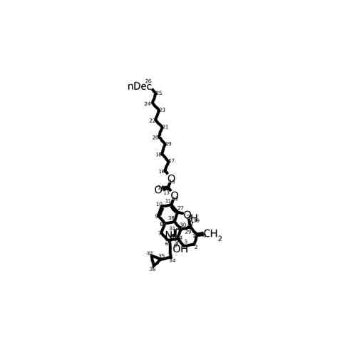 C=C1CC[C@@]2(O)C3CC4C=CC(OC(=O)OCCCCCCCCCCCCCCCCCCCC)=C5O[C@@H]1[C@]2(CCN3CC1CC1)C54